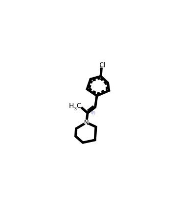 C/C(=C\c1ccc(Cl)cc1)N1CCCCC1